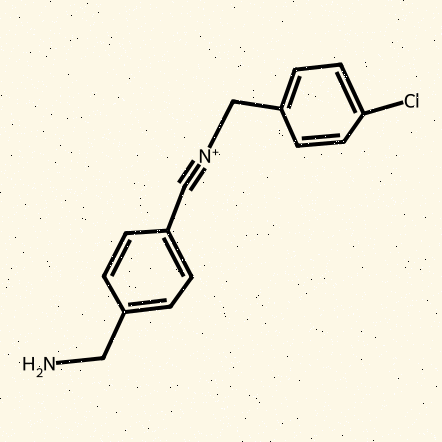 NCc1ccc(C#[N+]Cc2ccc(Cl)cc2)cc1